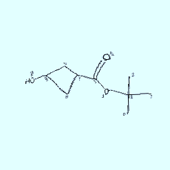 CC(C)(C)OC(=O)C1CC(O)C1